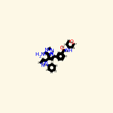 Nc1ncnn2c(-c3cccc(C(=O)NC4CCOCC4)c3)cc(-c3ccnn3C3CCCCC3)c12